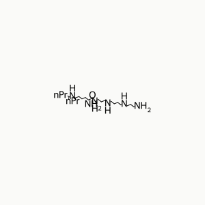 CCCC(CCC)NCCCCC(N)C(=O)NCCCNCCCCNCCCN